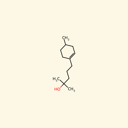 CC1CC=C(CCCC(C)(C)O)CC1